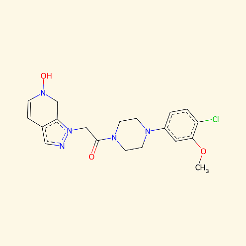 COc1cc(N2CCN(C(=O)Cn3ncc4c3CN(O)C=C4)CC2)ccc1Cl